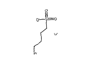 CC(C)CCCCS(=O)(=O)[O-].[Li+]